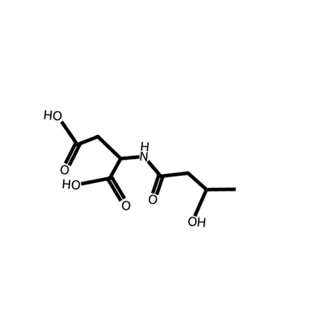 CC(O)CC(=O)NC(CC(=O)O)C(=O)O